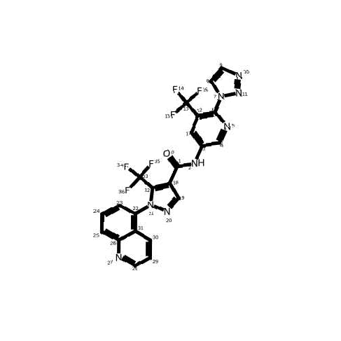 O=C(Nc1cnc(-n2ccnn2)c(C(F)(F)F)c1)c1cnn(-c2cccc3ncccc23)c1C(F)(F)F